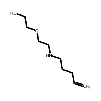 C=CCCCNCCOCCO